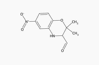 CC1(C)Oc2ccc([N+](=O)[O-])cc2NC1C=O